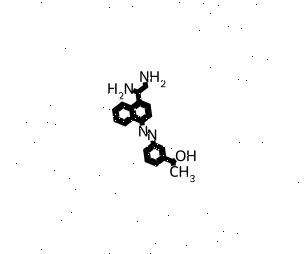 CC(O)c1cccc(N=Nc2ccc(C(N)CN)c3ccccc23)c1